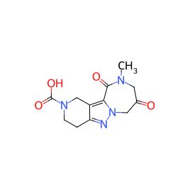 CN1CC(=O)Cn2nc3c(c2C1=O)CN(C(=O)O)CC3